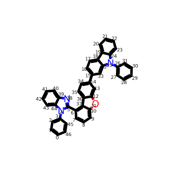 c1ccc(-n2c(-c3cccc4oc5cc(-c6ccc7c8ccccc8n(-c8ccccc8)c7c6)ccc5c34)nc3ccccc32)cc1